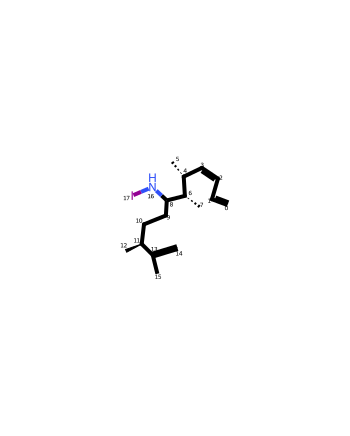 C=C/C=C\[C@@H](C)[C@H](C)C(CC[C@H](C)C(=C)C)NI